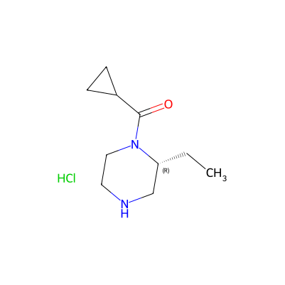 CC[C@@H]1CNCCN1C(=O)C1CC1.Cl